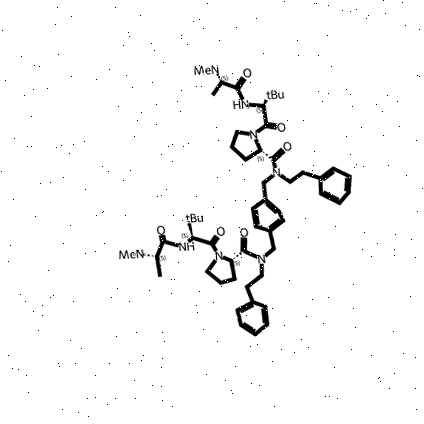 CN[C@@H](C)C(=O)N[C@H](C(=O)N1CCC[C@H]1C(=O)N(CCc1ccccc1)Cc1ccc(CN(CCc2ccccc2)C(=O)[C@@H]2CCCN2C(=O)[C@@H](NC(=O)[C@H](C)NC)C(C)(C)C)cc1)C(C)(C)C